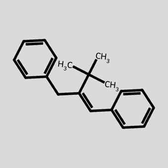 CC(C)(C)C(=Cc1ccccc1)Cc1ccccc1